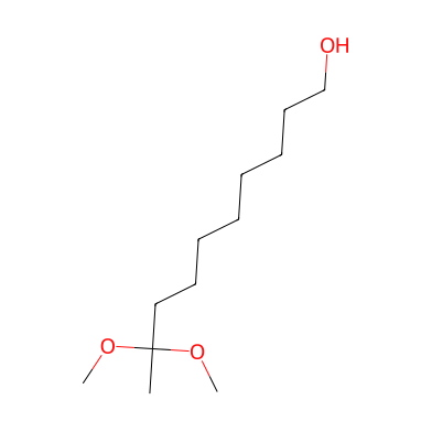 COC(C)(CCCCCCCCO)OC